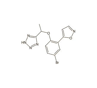 CC(Oc1ccc(Br)cc1-c1ccno1)c1nn[nH]n1